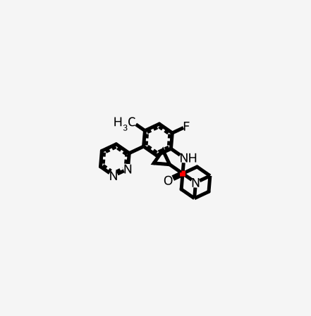 Cc1cc(F)c(NC(=O)N2C3CC(C4CC4)CC2C3)cc1-c1cccnn1